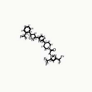 O=C(Cn1nc(C(F)F)cc1C(F)F)N1CCC(c2nc(C3=NOC(c4[c]cccc4C(F)F)C3)cs2)CC1